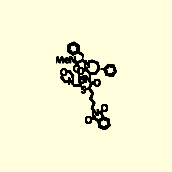 CNC(=O)[C@H](Cc1ccccc1)N1CC[C@H](c2ccccc2)C[C@H](NC(=O)C(CCCCN2C(=O)c3ccccc3C2=O)SC(=O)CN2CCOCC2)C1=O